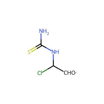 NC(=S)NC(Cl)[C]=O